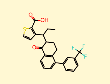 CCC(c1ccsc1C(=O)O)C1CCc2c(cccc2-c2cccc(C(F)(F)F)c2)C1=O